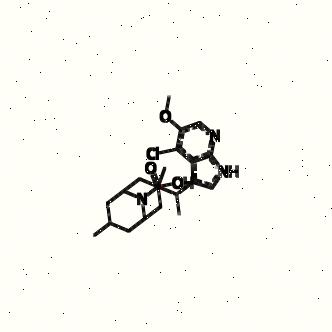 COc1cnc2[nH]cc(C(C)C(=O)N3C4CC(C)CC3CC(C)(O)C4)c2c1Cl